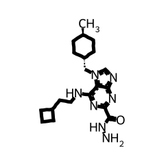 C[C@H]1CC[C@H](Cn2cnc3nc(C(=O)NN)nc(NCCC4CCC4)c32)CC1